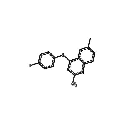 Cc1ccc2nc(C(F)(F)F)nc(Sc3ccc(I)cc3)c2c1